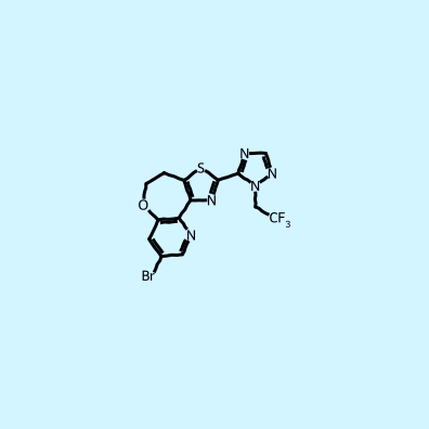 FC(F)(F)Cn1ncnc1-c1nc2c(s1)CCOc1cc(Br)cnc1-2